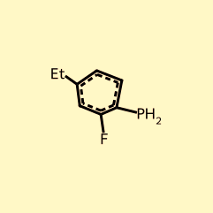 CCc1ccc(P)c(F)c1